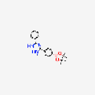 CN/C(=N\C(=N)c1ccccc1)c1ccc(B2OC(C)(C)C(C)(C)O2)cc1